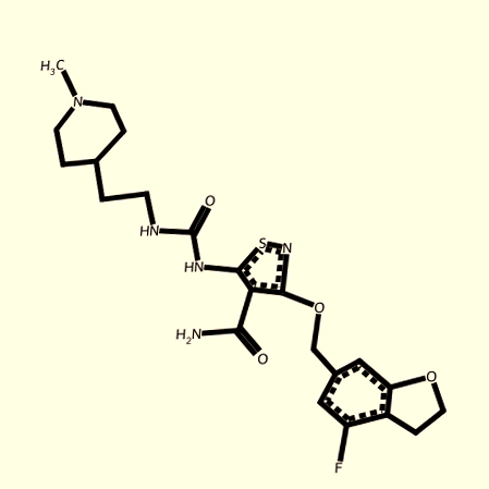 CN1CCC(CCNC(=O)Nc2snc(OCc3cc(F)c4c(c3)OCC4)c2C(N)=O)CC1